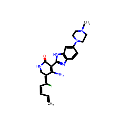 C=C/C=C\C(F)=C1/CNC(=O)C(c2nc3ccc(N4CCN(C)CC4)cc3[nH]2)=C1N